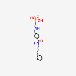 O=C(NCCCCc1ccccc1)c1ccc(CNCCCP(=O)(O)O)cc1